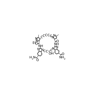 CCn1nc(C)c2c1C(=O)Nc1nc3cc(C(N)=O)ccc3n1CCC(O)Cn1c(nc3cc(C(N)=O)ccc31)NC(=O)c1cc(C)nn1CCCCC2